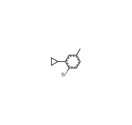 Cc1ccc(Br)c(C2CC2)c1